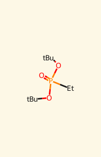 CCP(=O)(OC(C)(C)C)OC(C)(C)C